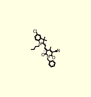 CCCCN1/C(=C\C=C2\C(=O)N(Cc3ccccc3)C(=O)C(C#N)=C2C)C(C)(C)c2cc(Cl)ccc21